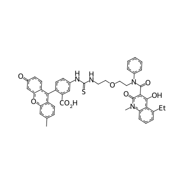 CCc1cccc2c1c(O)c(C(=O)N(CCOCCNC(=S)Nc1ccc(-c3c4ccc(=O)cc-4oc4cc(C)ccc34)c(C(=O)O)c1)c1ccccc1)c(=O)n2C